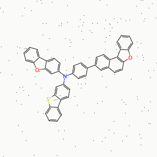 c1ccc2c(c1)oc1cc(N(c3ccc(-c4ccc5c(ccc6oc7ccccc7c65)c4)cc3)c3ccc4c(c3)sc3ccccc34)ccc12